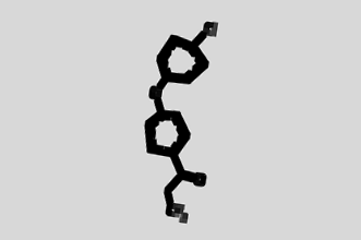 O=C(CC(F)(F)F)c1ccc(Oc2ccc(Cl)cc2)cc1